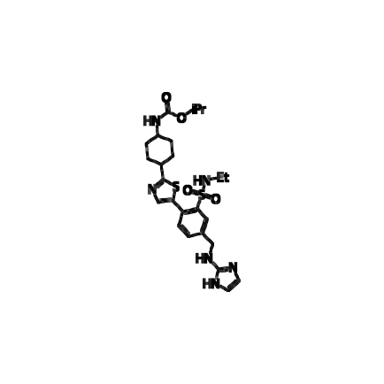 CCNS(=O)(=O)c1cc(CNc2ncc[nH]2)ccc1-c1cnc(C2CCC(NC(=O)OC(C)C)CC2)s1